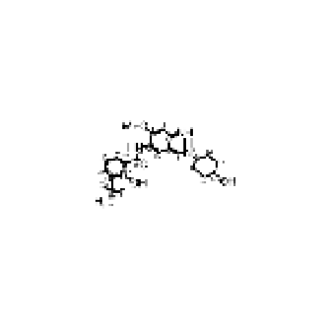 COC1=CC(=N)/C(=C\N[C@H]2CC[C@H](O)CC2)C=C1NC(=O)c1cccc(C(C)(F)F)[n+]1O